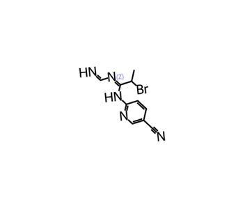 CC(Br)/C(=N/C=N)Nc1ccc(C#N)cn1